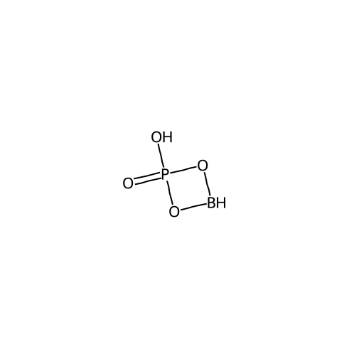 O=P1(O)OBO1